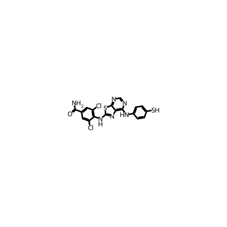 NC(=O)c1cc(Cl)c(Nc2nc3c(Nc4ccc(S)cc4)ncnc3s2)c(Cl)c1